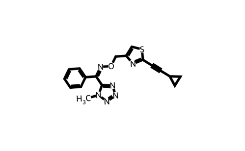 Cn1nnnc1C(=NOCc1csc(C#CC2CC2)n1)c1ccccc1